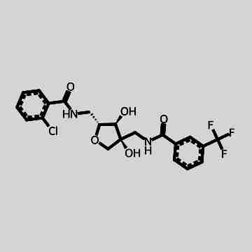 O=C(NC[C@]1(O)CO[C@H](CNC(=O)c2ccccc2Cl)[C@H]1O)c1cccc(C(F)(F)F)c1